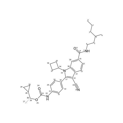 CCCC(C)CCNC(=O)c1ccc2c(C#N)c(-c3ccc(NC(=O)O[C@H](C)C4CC4)cc3)n(C3CCC3)c2c1